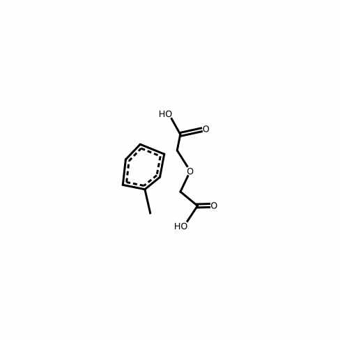 Cc1ccccc1.O=C(O)COCC(=O)O